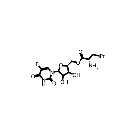 CC(C)C[C@H](N)C(=O)OC[C@@H]1O[C@H](n2cc(F)c(=O)[nH]c2=O)C(O)C1O